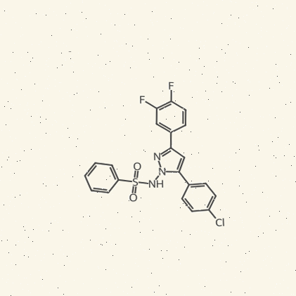 O=S(=O)(Nn1nc(-c2ccc(F)c(F)c2)cc1-c1ccc(Cl)cc1)c1ccccc1